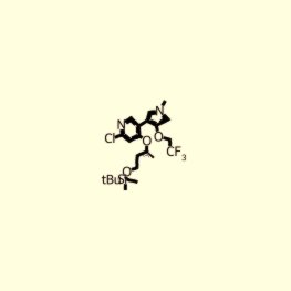 C[C@@H](CCO[Si](C)(C)C(C)(C)C)Oc1cc(Cl)ncc1-c1cn(C)cc1OCC(F)(F)F